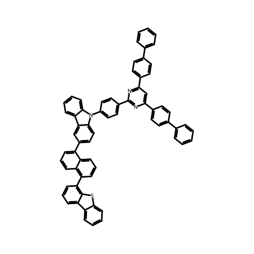 c1ccc(-c2ccc(-c3cc(-c4ccc(-c5ccccc5)cc4)nc(-c4ccc(-n5c6ccccc6c6cc(-c7cccc8c(-c9cccc%10c9sc9ccccc9%10)cccc78)ccc65)cc4)n3)cc2)cc1